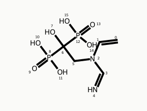 C=CN(C=N)CC(O)(P(=O)(O)O)P(=O)(O)O